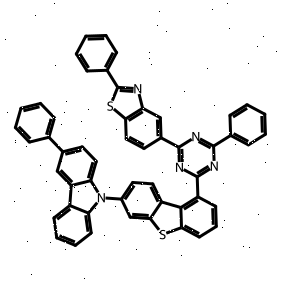 c1ccc(-c2ccc3c(c2)c2ccccc2n3-c2ccc3c(c2)sc2cccc(-c4nc(-c5ccccc5)nc(-c5ccc6sc(-c7ccccc7)nc6c5)n4)c23)cc1